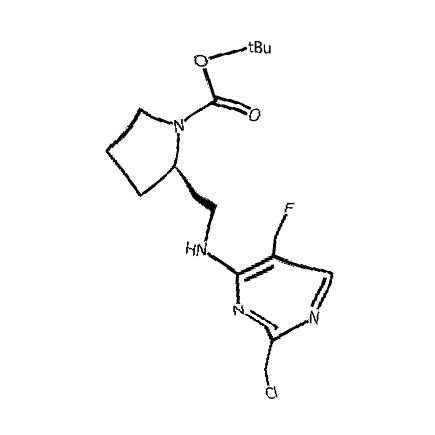 CC(C)(C)OC(=O)N1CCC[C@@H]1CNc1nc(Cl)ncc1F